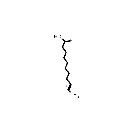 C/C=C/CCCCCCCC(C)F